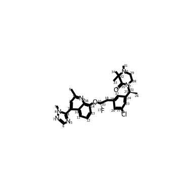 Cc1cc(-c2ncnn2C)c2cccc(O[C@@H](F)Cc3cc(Cl)cc([C@H](C)N4CCN(C)C(C)(C)C4=O)c3)c2n1